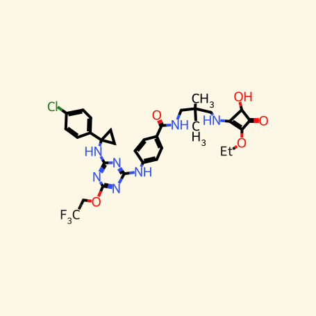 CCOC1=C(NCC(C)(C)CNC(=O)c2ccc(Nc3nc(NC4(c5ccc(Cl)cc5)CC4)nc(OCC(F)(F)F)n3)cc2)C(O)C1=O